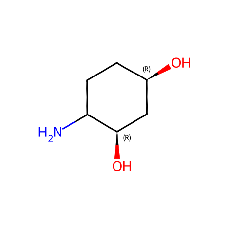 NC1CC[C@@H](O)C[C@H]1O